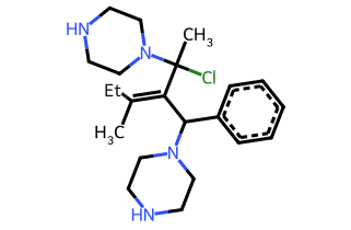 CCC(C)=C(C(c1ccccc1)N1CCNCC1)C(C)(Cl)N1CCNCC1